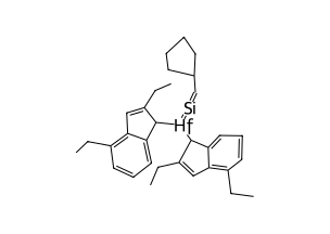 CCC1=Cc2c(CC)cccc2[CH]1[Hf](=[Si]=CC1CCCC1)[CH]1C(CC)=Cc2c(CC)cccc21